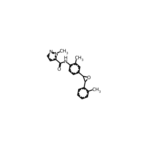 Cc1cc(C2OC2c2ccccc2C)ccc1NC(=O)c1ccnn1C